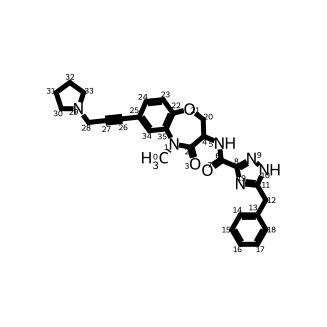 CN1C(=O)C(NC(=O)c2n[nH]c(Cc3ccccc3)n2)COc2ccc(C#CCN3CCCC3)cc21